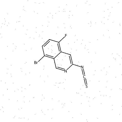 Fc1ccc(Br)c2cnc(N=C=S)cc12